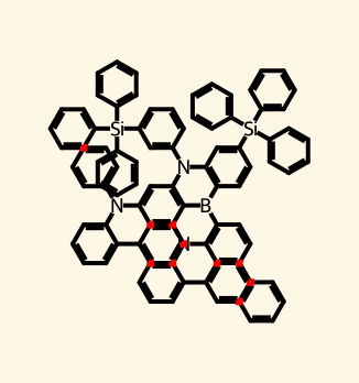 c1ccc(-c2ccc3c(c2)N(c2ccccc2-c2ccccc2)c2cc(N(c4ccccc4)c4ccccc4-c4ccccc4)cc4c2B3c2ccc([Si](c3ccccc3)(c3ccccc3)c3ccccc3)cc2N4c2cccc([Si](c3ccccc3)(c3ccccc3)c3ccccc3)c2)cc1